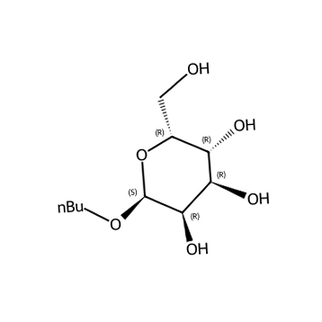 CCCCO[C@H]1O[C@H](CO)[C@H](O)[C@@H](O)[C@H]1O